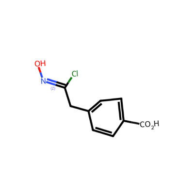 O=C(O)c1ccc(C/C(Cl)=N/O)cc1